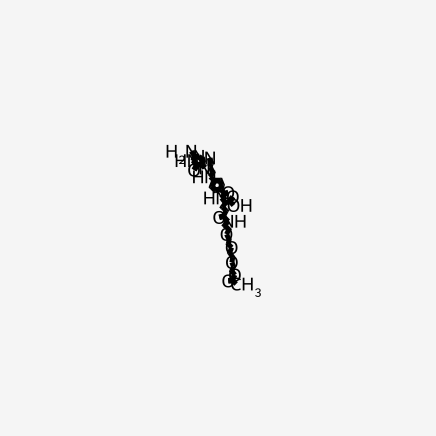 CC(=O)OCCOCCOCCOCCNC(=O)CCC(NC(=O)c1ccc(NCc2cnc3nc(N)[nH]c(=O)c3n2)cc1)C(=O)O